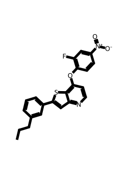 CCCc1cccc(-c2cc3nccc(Oc4ccc([N+](=O)[O-])cc4F)c3s2)c1